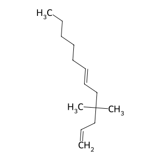 C=CCC(C)(C)CC=CCCCCC